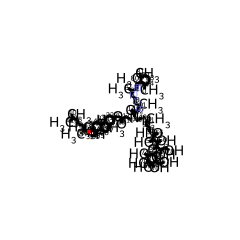 CC1=C(/C=C/C(C)=C\C=C\C(C)=C/C(=O)N(CCC(=O)OC2CC[C@@]3(C)C(=CC[C@H]4[C@@H]5CC[C@H]([C@H](C)CCCC(C)C)[C@@]5(C)CC[C@@H]43)C2)CCN(C)CCNC(=O)C(O)C(O)C(O[C@@H]2OC(CO)C(O)(O)[C@H](O)C2O)C(O)CO)C(C)(C)CCC1